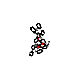 N#Cc1cccc(-n2c3ccccc3c3c2ccc2c4ccccc4n(-c4ccccc4)c23)c1-c1cc(-c2c(C(F)(F)F)cccc2C(F)(F)F)ccc1-n1c2ccccc2c2c1ccc1c3ccccc3n(-c3ccccc3)c12